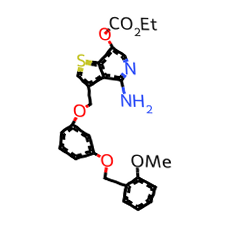 CCOC(=O)Oc1cnc(N)c2c(COc3cccc(OCc4ccccc4OC)c3)csc12